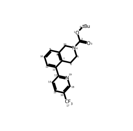 CC(C)(C)OC(=O)N1CCc2c(cccc2-c2ccc(C(F)(F)F)cn2)C1